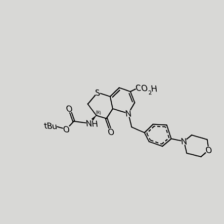 CC(C)(C)OC(=O)N[C@H]1CSC2=CC(C(=O)O)=CN(Cc3ccc(N4CCOCC4)cc3)C2C1=O